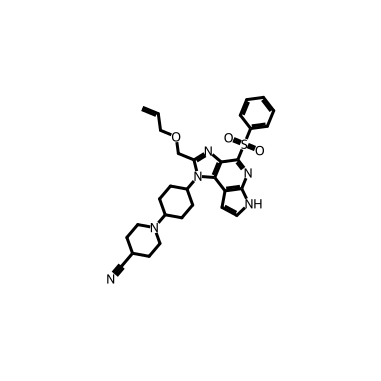 C=CCOCc1nc2c(S(=O)(=O)c3ccccc3)nc3[nH]ccc3c2n1C1CCC(N2CCC(C#N)CC2)CC1